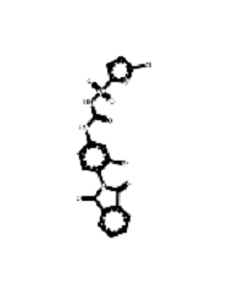 O=C(Nc1ccc(N2C(=O)c3ccccc3C2=O)c(Br)c1)NS(=O)(=O)c1ccc(Cl)s1